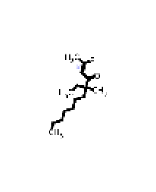 CCCCCCCC(C)(CC)C(=O)/C=C(/C)F